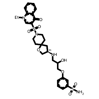 CCn1cc(S(=O)(=O)N2CCC3(CC2)C[C@@H](NCC(O)COc2cccc(S(N)(=O)=O)c2)CO3)c(=O)c2ccccc21